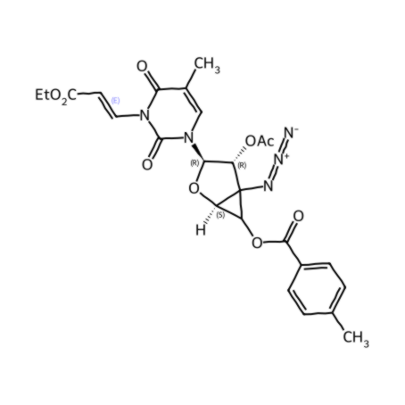 CCOC(=O)/C=C/n1c(=O)c(C)cn([C@@H]2O[C@@H]3C(OC(=O)c4ccc(C)cc4)C3(N=[N+]=[N-])[C@H]2OC(C)=O)c1=O